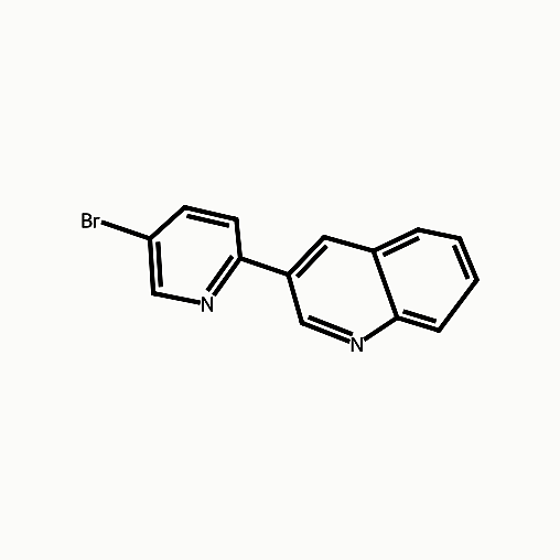 Brc1ccc(-c2cnc3ccccc3c2)nc1